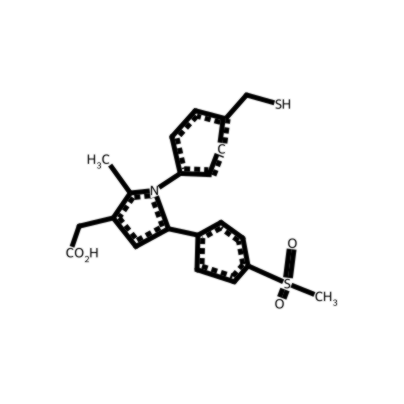 Cc1c(CC(=O)O)cc(-c2ccc(S(C)(=O)=O)cc2)n1-c1ccc(CS)cc1